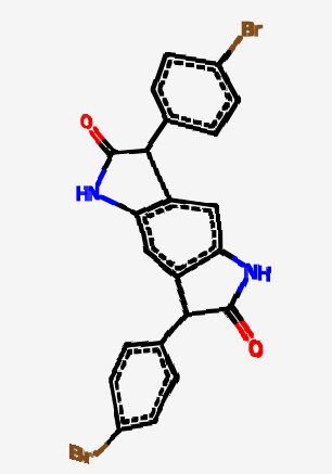 O=C1Nc2cc3c(cc2C1c1ccc(Br)cc1)NC(=O)C3c1ccc(Br)cc1